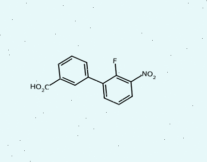 O=C(O)c1cccc(-c2cccc([N+](=O)[O-])c2F)c1